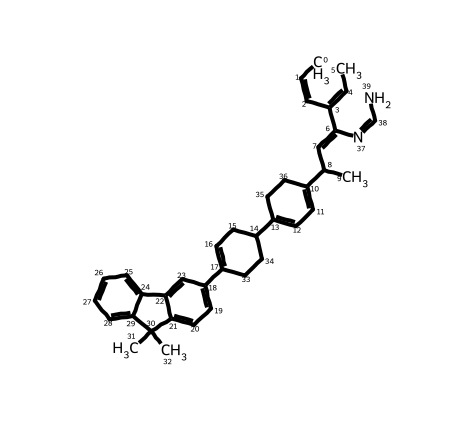 C\C=C/C(=C\C)C(=C/C(C)C1=CC=C(C2CC=C(c3ccc4c(c3)-c3ccccc3C4(C)C)CC2)CC1)/N=C\N